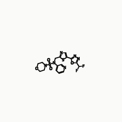 O=S(=O)(N1CCOCC1)N(Cc1ncc(-c2nnc(C(F)F)o2)s1)c1cccnc1